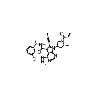 C=CC(=O)N1C[C@H](n2c(C#CC)c(C(=O)NC(C)c3cccc(Cl)c3)c3c(N)ncnc32)C[C@@H]1C